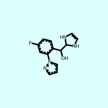 OC(c1ccc(F)cc1-n1cccn1)C1NC=CN1